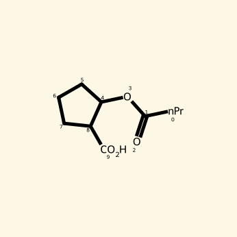 CCCC(=O)OC1CCCC1C(=O)O